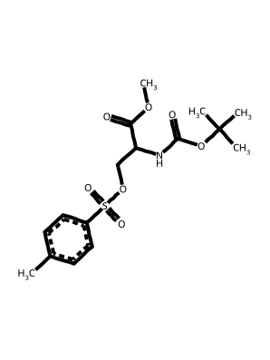 COC(=O)C(COS(=O)(=O)c1ccc(C)cc1)NC(=O)OC(C)(C)C